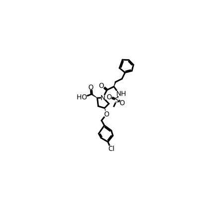 CS(=O)(=O)N[C@H](CCc1ccccc1)C(=O)N1C[C@H](OCc2ccc(Cl)cc2)C[C@H]1C(=O)O